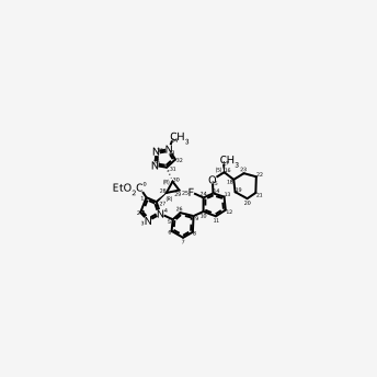 CCOC(=O)c1cnn(-c2cccc(-c3cccc(O[C@@H](C)C4CCCCC4)c3F)c2)c1[C@@H]1C[C@H]1c1cn(C)nn1